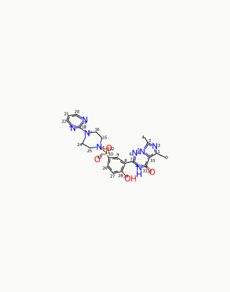 Cc1nc(C)n2nc(-c3cc(S(=O)(=O)N4CCN(c5ncccn5)CC4)ccc3O)[nH]c(=O)c12